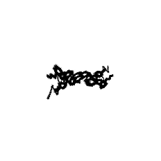 CCCCc1cccc2c1OC1=C(N(c3ccc(C#N)cc3)c3ccc4ccc5c(N(c6ccc(C#N)cc6)c6cccc7c6oc6c(CCCC)cccc67)ccc6ccc3c4c65)C=CCC12